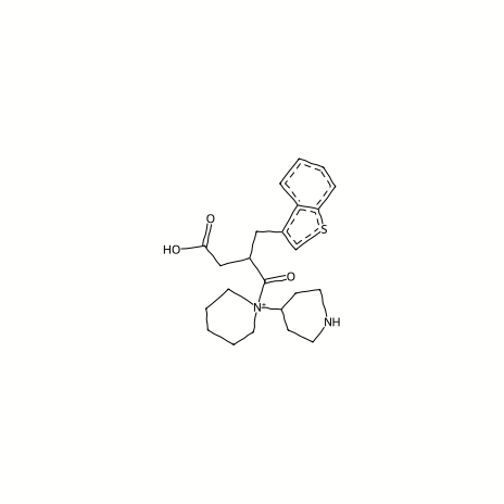 O=C(O)CC(Cc1csc2ccccc12)C(=O)[N+]1(C2CCNCC2)CCCCC1